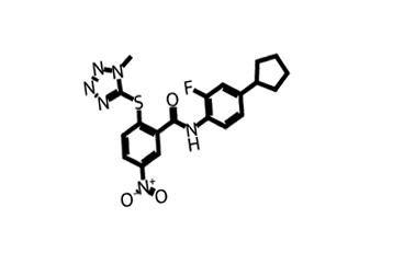 Cn1nnnc1Sc1ccc([N+](=O)[O-])cc1C(=O)Nc1ccc(C2CCCC2)cc1F